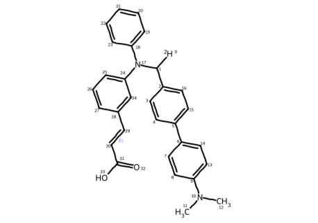 [2H]C(c1ccc(-c2ccc(N(C)C)cc2)cc1)N(c1ccccc1)c1cccc(/C=C/C(=O)O)c1